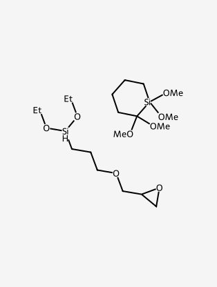 CCO[SiH](CCCOCC1CO1)OCC.COC1(OC)CCCC[Si]1(OC)OC